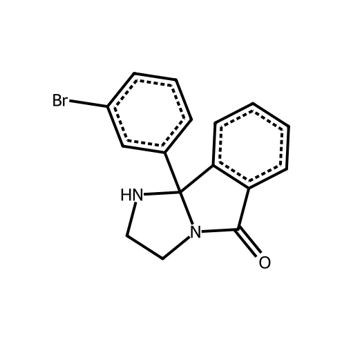 O=C1c2ccccc2C2(c3cccc(Br)c3)NCCN12